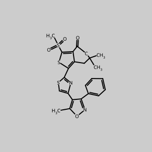 Cc1onc(-c2ccccc2)c1-c1csc(-c2sc(S(C)(=O)=O)c3c2CC(C)(C)CC3=O)n1